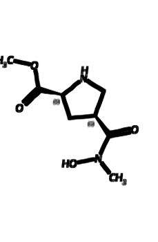 COC(=O)[C@@H]1C[C@H](C(=O)N(C)O)CN1